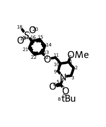 COC1CCN(C(=O)OC(C)(C)C)CC1COc1ccc(S(C)(=O)=O)cc1